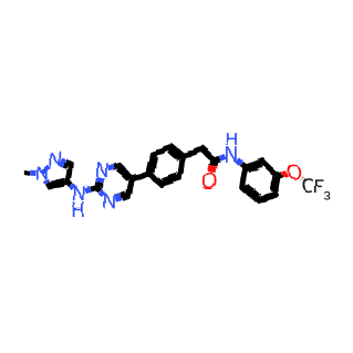 Cn1cc(Nc2ncc(-c3ccc(CC(=O)Nc4cccc(OC(F)(F)F)c4)cc3)cn2)cn1